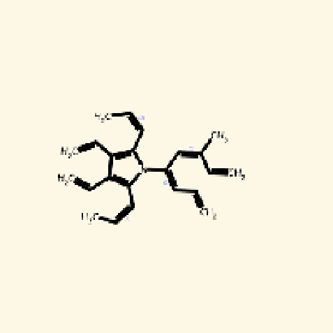 C=C/C=C(\C=C(\C)C=C)n1c(/C=C\C)c(C=C)c(C=C)c1/C=C\C